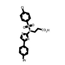 CC(C)c1ccc(-c2csc(N(CCC(=O)O)S(=O)(=O)c3ccc(Cl)cc3)n2)cc1